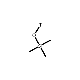 C[Si](C)(C)[O][Ti]